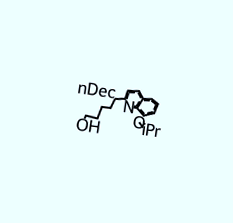 CCCCCCCCCCC(CCCCO)c1ccc2cccc(OC(C)C)c2n1